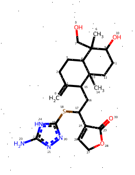 C=C1CCC2C(C)(CO)C(O)CCC2(C)C1CC(Sc1nnc(N)[nH]1)C1=CCOC1=O